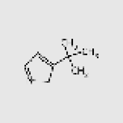 CC(C)(C)C1=CC=NC1